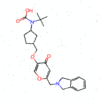 CC(C)(C)N(C(=O)O)C1CCC(COc2coc(CN3Cc4ccccc4C3)cc2=O)C1